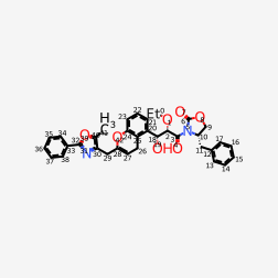 CCO[C@H](C(=O)N1C(=O)OC[C@@H]1Cc1ccccc1)[C@H](O)c1cccc2c1CC=C(Cc1nc(-c3ccccc3)oc1C)O2